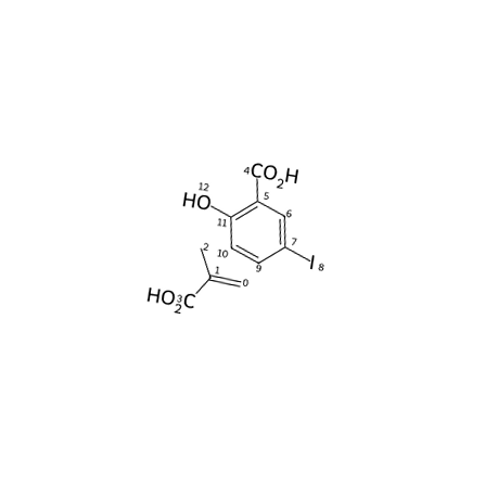 C=C(C)C(=O)O.O=C(O)c1cc(I)ccc1O